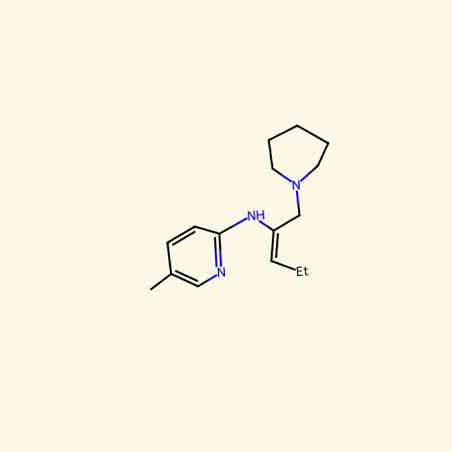 CC/C=C(\CN1CCCCC1)Nc1ccc(C)cn1